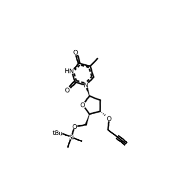 C#CCO[C@H]1C[C@H](n2cc(C)c(=O)[nH]c2=O)O[C@@H]1CO[Si](C)(C)C(C)(C)C